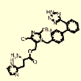 CCCCc1nc(Cl)c(COC(=O)[C@@H](N)Cc2ncc[nH]2)n1Cc1ccc(-c2ccccc2-c2nn[nH]n2)cc1